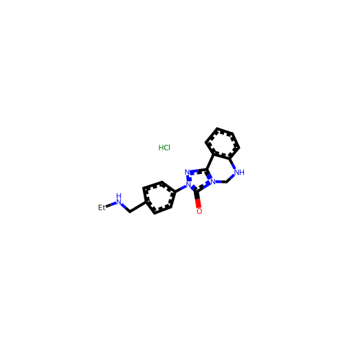 CCNCc1ccc(-n2nc3n(c2=O)CNc2ccccc2-3)cc1.Cl